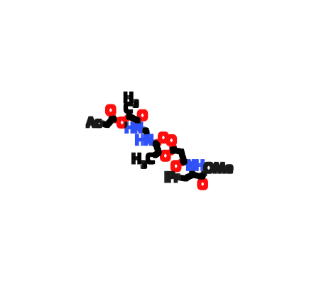 COC(=O)C(CC(C)C)NC(=O)CC(=O)OC(C)C(=O)NCNC(=O)C(C)OC(=O)CC(C)=O